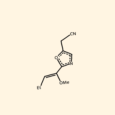 CC/C=C(\OC)c1ncc(CC#N)o1